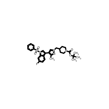 Cc1nn(CC2CCN(C(=O)OC(C)(C)C)CC2)cc1-c1cn(S(=O)(=O)c2ccccc2)c2cc(F)ccc12